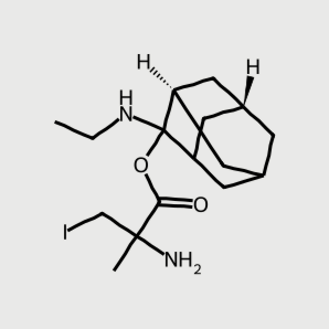 CCNC1(OC(=O)C(C)(N)CI)C2CC3C[C@H](C2)C[C@H]1C3